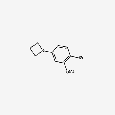 COc1cc(N2CCC2)ccc1C(C)C